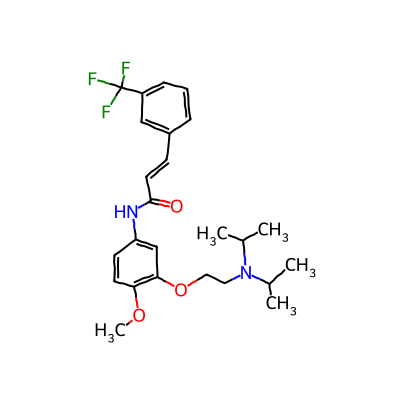 COc1ccc(NC(=O)/C=C/c2cccc(C(F)(F)F)c2)cc1OCCN(C(C)C)C(C)C